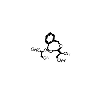 O=CC(O)CO.OCC(O)C1OCc2ccccc2CO1